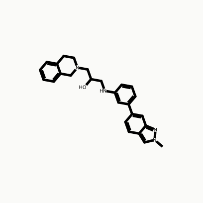 Cn1cc2ccc(-c3cccc(NCC(O)CN4CCc5ccccc5C4)c3)cc2n1